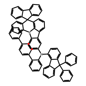 c1ccc(-c2ccc(-c3ccccc3N(c3ccc4c(c3)c3cccc5c3n4-c3ccccc3C53c4ccccc4-c4ccccc43)c3cccc4c3-c3ccccc3C4(c3ccccc3)c3ccccc3)cc2)cc1